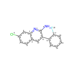 Nc1nc2cc(Cl)ccc2cc1-c1ccccc1F